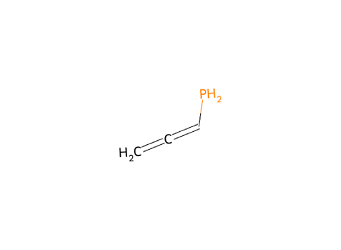 C=C=CP